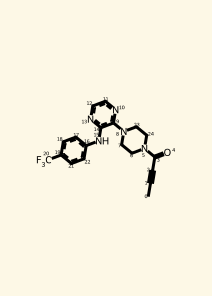 CC#CC(=O)N1CCN(c2nccnc2Nc2ccc(C(F)(F)F)cc2)CC1